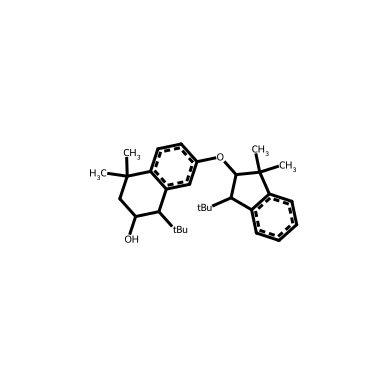 CC1(C)CC(O)C(C(C)(C)C)c2cc(OC3C(C(C)(C)C)c4ccccc4C3(C)C)ccc21